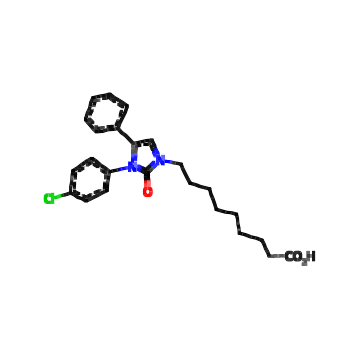 O=C(O)CCCCCCCCn1cc(-c2ccccc2)n(-c2ccc(Cl)cc2)c1=O